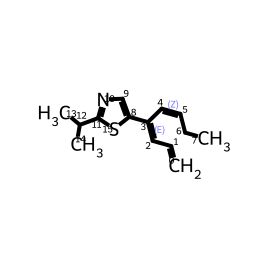 C=C/C=C(\C=C/CC)c1cnc(C(C)C)s1